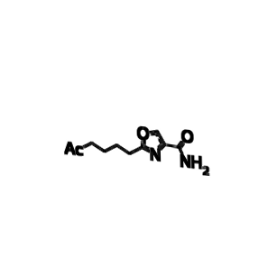 CC(=O)CCCCc1nc(C(N)=O)co1